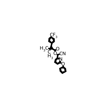 CC1(C)C(C(=O)OC(C#N)c2cccc(Oc3ccccc3)n2)C1c1ccc(C(F)(F)F)cc1